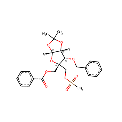 CC1(C)O[C@H]2O[C@@](COC(=O)c3ccccc3)(COS(C)(=O)=O)[C@@H](OCc3ccccc3)[C@H]2O1